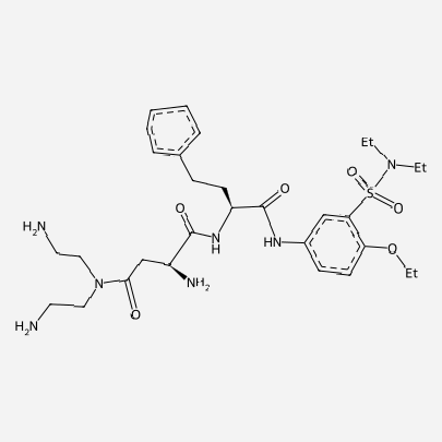 CCOc1ccc(NC(=O)[C@H](CCc2ccccc2)NC(=O)[C@@H](N)CC(=O)N(CCN)CCN)cc1S(=O)(=O)N(CC)CC